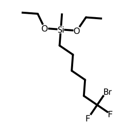 CCO[Si](C)(CCCCCC(F)(F)Br)OCC